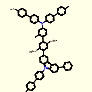 CCCCCCc1cc(-c2ccc(N(c3ccc(-c4ccc(C)cc4)cc3)c3ccc(-c4ccc(CCC)cc4)cc3)cc2C)c(CCCCCC)cc1-c1ccc2c(c1)c1cc(-c3ccccc3)ccc1n2-c1ccc(-c2ccc(C)cc2)cc1